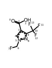 O=C(O)c1cn(CF)nc1C(F)(F)F